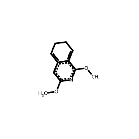 COc1cc2c(c(OC)n1)=CCCC=2